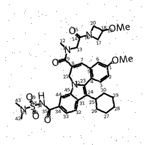 COc1ccc2c(c1)C=C(C(=O)N(C)CC(=O)N1CC(OC)C1)Cn1c-2c(C2CCCCC2)c2ccc(C(=O)NS(=O)(=O)N(C)C)cc21